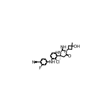 CC1(O)CC(N2C(=N)N[C@](C)(c3cccc(Nc4ccc(C#N)c(F)c4)c3Cl)CC2=O)C1